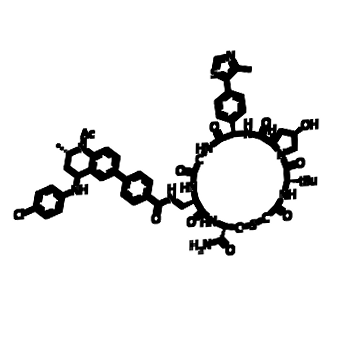 CC(=O)N1c2ccc(-c3ccc(C(=O)NC[C@H]4NC(=O)CNC(=O)[C@@H](c5ccc(-c6scnc6C)cc5)NC(=O)[C@@H]5C[C@@H](O)CN5C(=O)[C@H](C(C)(C)C)NC(=O)CSC[C@H](C(N)=O)NC4=O)cc3)cc2C(Nc2ccc(Cl)cc2)C[C@@H]1C